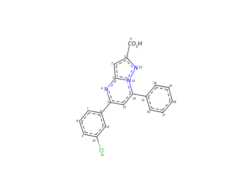 O=C(O)c1cc2nc(-c3cccc(Cl)c3)cc(-c3ccccc3)n2n1